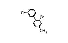 Cc1ccc(-c2cc[c]c(Cl)c2)c(Br)c1